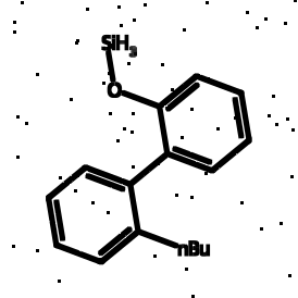 CCCCc1ccccc1-c1ccccc1O[SiH3]